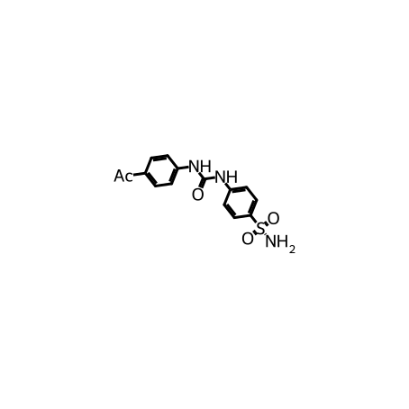 CC(=O)c1ccc(NC(=O)Nc2ccc(S(N)(=O)=O)cc2)cc1